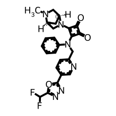 CN1C[C@@H]2C[C@H]1CN2c1c(N(Cc2ccc(-c3nnc(C(F)F)o3)cn2)c2ccccc2)c(=O)c1=O